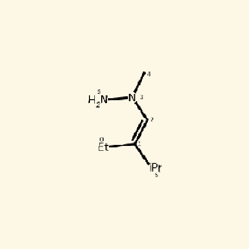 CC/C(=C\N(C)N)C(C)C